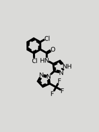 O=C(Nc1c[nH]nc1-n1nccc1C(F)(F)F)c1c(Cl)cccc1Cl